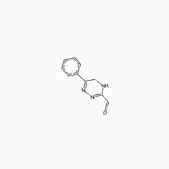 O=CC1=NN=C(c2ccccc2)CN1